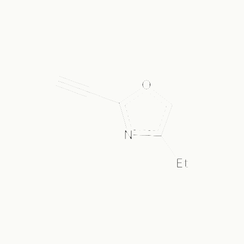 C#Cc1nc(CC)co1